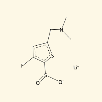 CN(C)Cc1cc(F)c(S(=O)[O-])s1.[Li+]